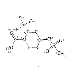 CS(=O)(=O)O[C@H]1CCN(C(=O)O)[C@H](C(F)(F)F)C1